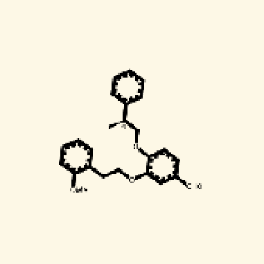 COc1ccccc1CCOc1cc(C=O)ccc1OC[C@@H](C)c1ccccc1